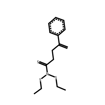 C=C(CCC(=S)N(SCC)SCC)c1ccccc1